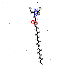 CCCCCCCCCCCCCCCCCCOC(=O)CCn1cc(C)nc1CC